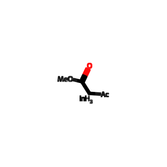 COC(=O)CC(C)=O.[InH3]